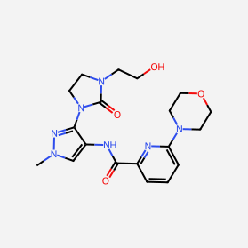 Cn1cc(NC(=O)c2cccc(N3CCOCC3)n2)c(N2CCN(CCO)C2=O)n1